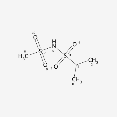 CC(C)S(=O)(=O)NS(C)(=O)=O